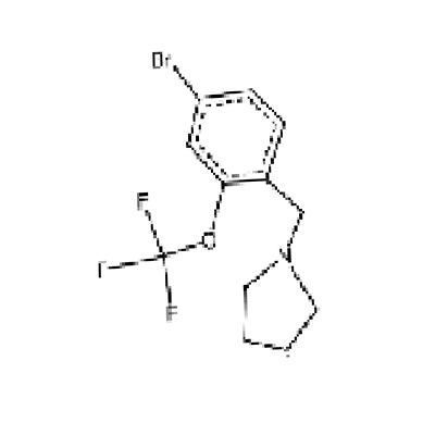 FC(F)(F)Oc1cc(Br)ccc1CN1C[CH]CC1